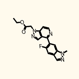 CCOC(=O)Cn1ncc2c(-c3cc4c(cnn4C)cc3F)nccc21